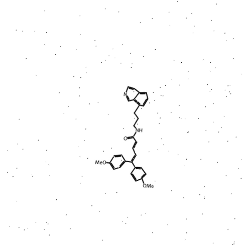 COc1ccc(C(=C/C=C/C(=O)NCCCc2cccc3ccncc23)c2ccc(OC)cc2)cc1